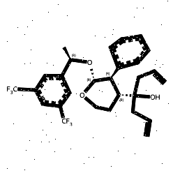 C=CCC(O)(CC=C)[C@@H]1CCO[C@H](O[C@H](C)c2cc(C(F)(F)F)cc(C(F)(F)F)c2)[C@H]1c1ccccc1